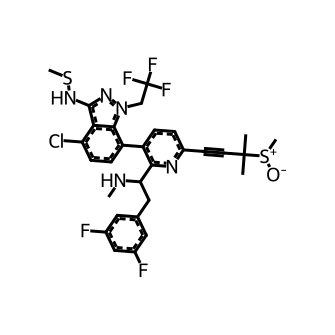 CNC(Cc1cc(F)cc(F)c1)c1nc(C#CC(C)(C)[S+](C)[O-])ccc1-c1ccc(Cl)c2c(NSC)nn(CC(F)(F)F)c12